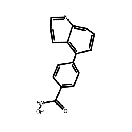 O=C(NO)c1ccc(-c2cccc3ncccc23)cc1